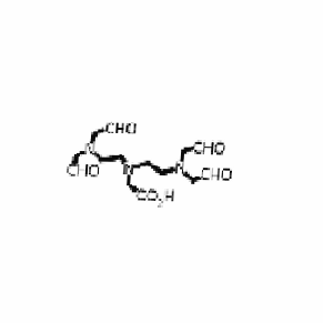 O=CCN(CC=O)CCN(CCN(CC=O)CC=O)CC(=O)O